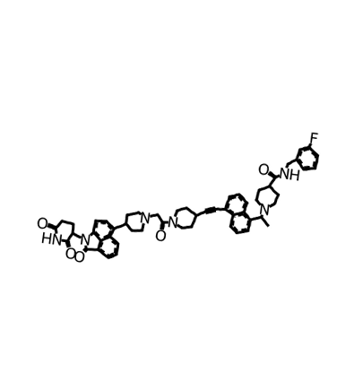 CC(c1cccc2c(C#CC3CCN(C(=O)CN4CCC(c5ccc6c7c(cccc57)C(=O)N6C5CCC(=O)NC5=O)CC4)CC3)cccc12)N1CCC(C(=O)NCc2cccc(F)c2)CC1